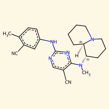 Cc1ccc(Nc2ncc(C#N)c(N(C)[C@H]3CCCN4CCCC[C@H]34)n2)cc1C#N